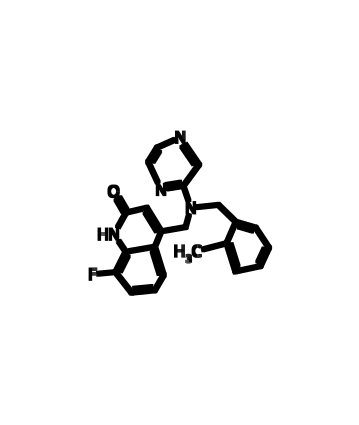 Cc1ccccc1CN(Cc1cc(=O)[nH]c2c(F)cccc12)c1cnccn1